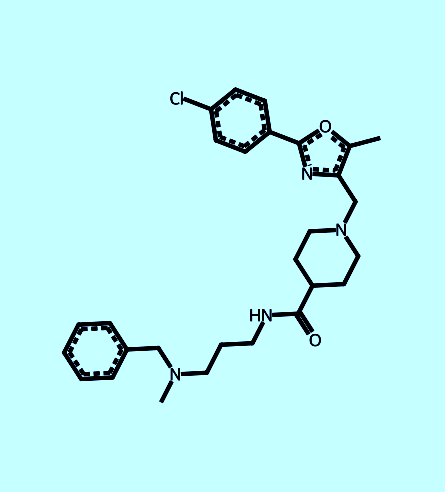 Cc1oc(-c2ccc(Cl)cc2)nc1CN1CCC(C(=O)NCCCN(C)Cc2ccccc2)CC1